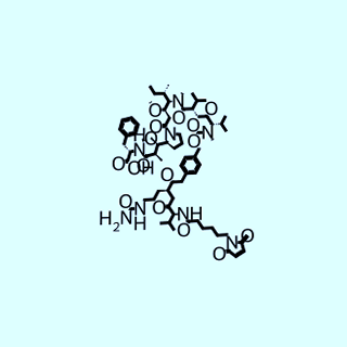 CC[C@H](C)[C@@H]([C@@H](CC(=O)N1CCC[C@H]1[C@H](OC)[C@@H](C)C(=O)N[C@@H](Cc1ccccc1)C(=O)O)OC)N(C)C(=O)[C@@H](CC(=O)[C@H](C(C)C)N(C)C(=O)OCc1ccc(CC(=O)[C@H](CCCNC(N)=O)CC(=O)[C@@H](NC(=O)CCCCCN2C(=O)C=CC2=O)C(C)C)cc1)C(C)C